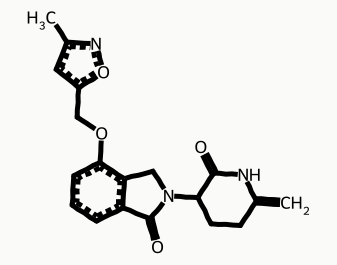 C=C1CCC(N2Cc3c(OCc4cc(C)no4)cccc3C2=O)C(=O)N1